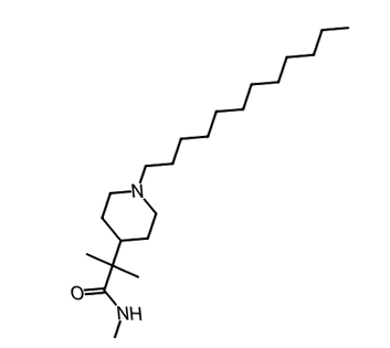 CCCCCCCCCCCCN1CCC(C(C)(C)C(=O)NC)CC1